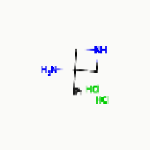 CC(C)C1(N)CNC1.Cl.Cl